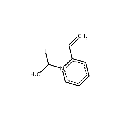 C=Cc1cccc[n+]1C(C)I